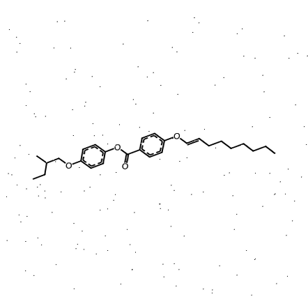 CCCCCCCC=COc1ccc(C(=O)Oc2ccc(OCC(C)CC)cc2)cc1